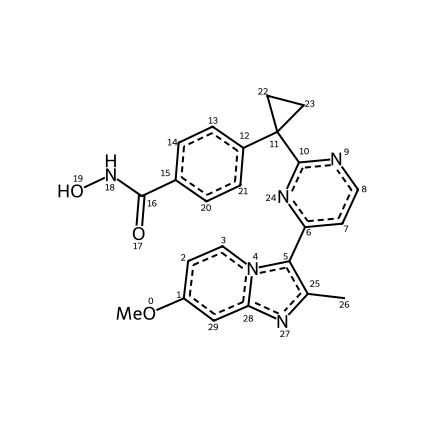 COc1ccn2c(-c3ccnc(C4(c5ccc(C(=O)NO)cc5)CC4)n3)c(C)nc2c1